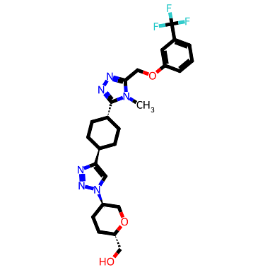 Cn1c(COc2cccc(C(F)(F)F)c2)nnc1[C@H]1CC[C@H](c2cn([C@@H]3CC[C@@H](CO)OC3)nn2)CC1